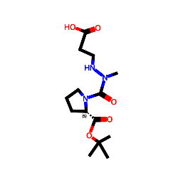 CN(NCCC(=O)O)C(=O)N1CCC[C@H]1C(=O)OC(C)(C)C